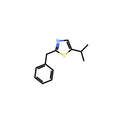 CC(C)c1cnc(Cc2ccccc2)s1